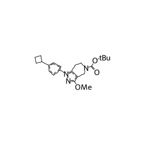 COc1nn(-c2ccc(C3CCC3)cc2)c2c1CN(C(=O)OC(C)(C)C)CC2